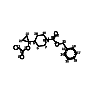 O=C(Cl)OC1(C2CCN(C(=O)OCc3ccccc3)CC2)CC1